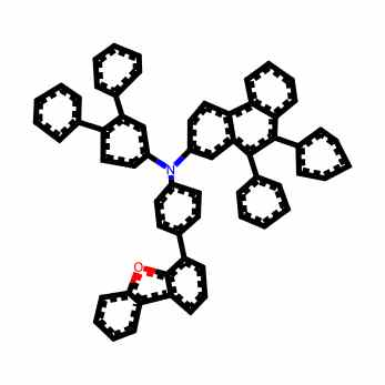 c1ccc(-c2ccc(N(c3ccc(-c4cccc5c4oc4ccccc45)cc3)c3ccc4c(c3)c(-c3ccccc3)c(-c3ccccc3)c3ccccc34)cc2-c2ccccc2)cc1